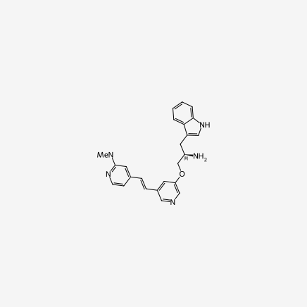 CNc1cc(C=Cc2cncc(OC[C@H](N)Cc3c[nH]c4ccccc34)c2)ccn1